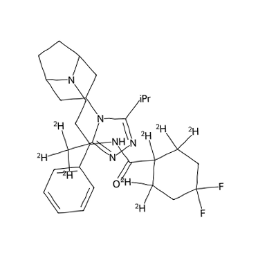 [2H]C([2H])([2H])c1nnc(C(C)C)n1C1CC2CCC(C1)N2CCC(NC(=O)C1([2H])C([2H])([2H])CC(F)(F)CC1([2H])[2H])c1ccccc1